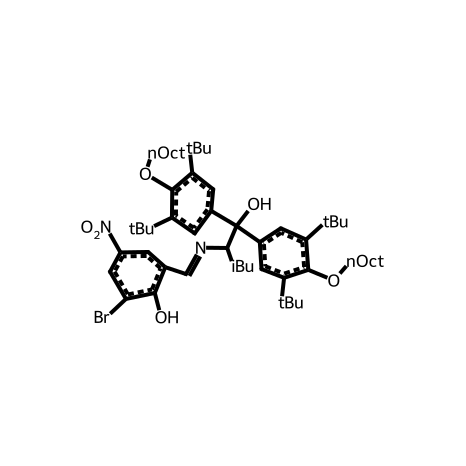 CCCCCCCCOc1c(C(C)(C)C)cc(C(O)(c2cc(C(C)(C)C)c(OCCCCCCCC)c(C(C)(C)C)c2)C(N=Cc2cc([N+](=O)[O-])cc(Br)c2O)C(C)CC)cc1C(C)(C)C